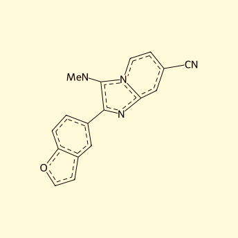 CNc1c(-c2ccc3occc3c2)nc2cc(C#N)ccn12